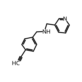 C#Cc1ccc(CNCc2cccnc2)cc1